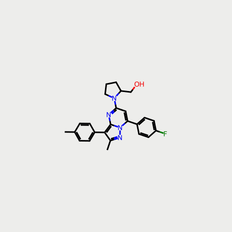 Cc1ccc(-c2c(C)nn3c(-c4ccc(F)cc4)cc(N4CCCC4CO)nc23)cc1